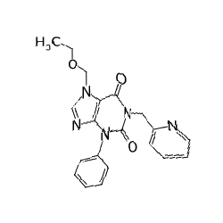 CCOCn1cnc2c1c(=O)n(Cc1ccccn1)c(=O)n2-c1ccccc1